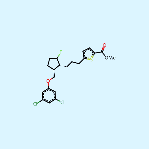 COC(=O)c1ccc(CCC[C@@H]2[C@@H](COc3cc(Cl)cc(Cl)c3)CC[C@H]2F)s1